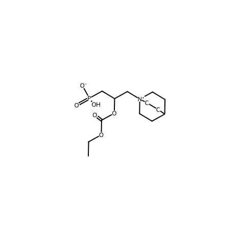 CCOC(=O)OC(C[N+]12CCC(CC1)CC2)CP(=O)([O-])O